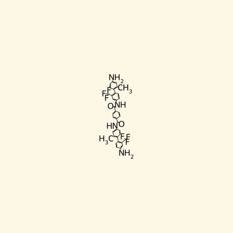 Cc1cc(NC(=O)c2ccc(C(=O)Nc3ccc(-c4ccc(N)cc4C)c(C(F)(F)F)c3)cc2)ccc1-c1ccc(N)cc1C(F)(F)F